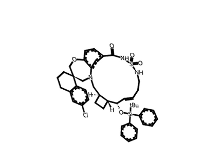 CC(C)(C)[Si](O[C@H]1/C=C/CCNS(=O)(=O)NC(=O)c2ccc3c(c2)N(C[C@@H]2CC[C@H]21)C[C@@]1(CCCc2cc(Cl)ccc21)CO3)(c1ccccc1)c1ccccc1